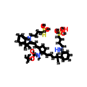 CN(C(=O)OC(C)(C)C)C1=C(/C=C/CC(C)(C)c2ccccc2NCCCCS(=O)(=O)O)CC/C1=C\C=C1\N(CCCC[SH](=O)=O)c2ccccc2C1(C)C